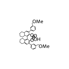 COCc1cccc(C2=CC3CCCCC3C3=C2OP(=O)(O)Oc2c(-c4cccc(COC)c4)cc4c(c23)CCCC4)c1